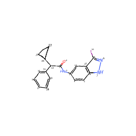 O=C(Nc1ccc2[nH]nc(I)c2c1)C(c1ccccc1)C1CC1